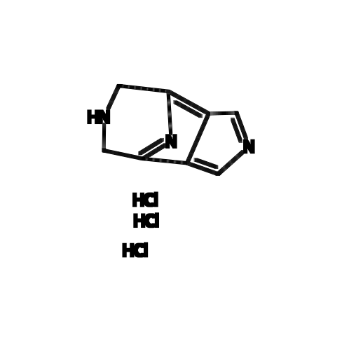 C1=NC=C2C3=NC(=C12)CNC3.Cl.Cl.Cl